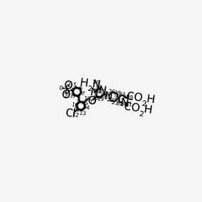 CS(=O)(=O)c1cccc(-c2cc(Cl)ccc2COc2cc(N3CCC4(CC3)CC(C(=O)O)N(C(=O)O)C4)nc(N)n2)c1